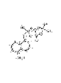 CP(=O)(O)OP(=O)(O)OP(=O)(O)Nc1cccc2c(S(=O)(=O)O)cccc12